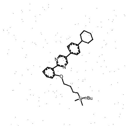 CCCC[Si](C)(C)CCCCOc1ccccc1-c1ncc(-c2ccc(C3CCCCC3)cc2)cn1